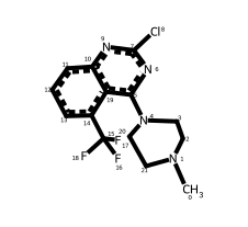 CN1CCN(c2nc(Cl)nc3cccc(C(F)(F)F)c23)CC1